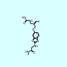 CNC(=O)CNc1nc2ccc(OC/C(=C\F)CNC(=O)O)cc2o1